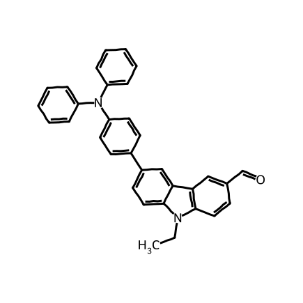 CCn1c2ccc(C=O)cc2c2cc(-c3ccc(N(c4ccccc4)c4ccccc4)cc3)ccc21